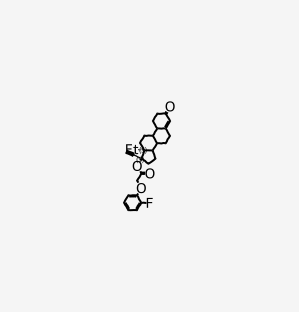 C#C[C@]1(OC(=O)COc2ccccc2F)CCC2C3CCC4=CC(=O)CCC4C3CC[C@@]21CC